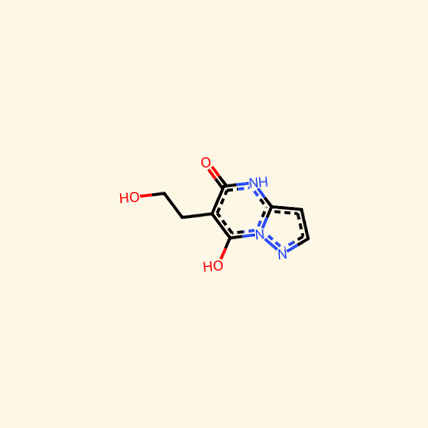 O=c1[nH]c2ccnn2c(O)c1CCO